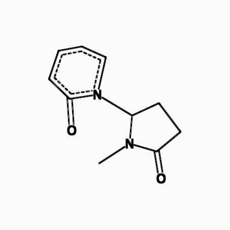 CN1C(=O)CCC1n1ccccc1=O